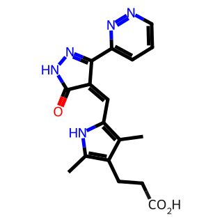 Cc1[nH]c(C=C2C(=O)NN=C2c2cccnn2)c(C)c1CCC(=O)O